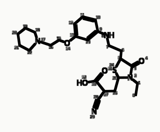 CCN1C(=O)C(CCNc2cccc(OCCN3CCCCC3)c2)SC1CC(C#N)C(=O)O